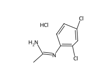 CC(N)=Nc1ccc(Cl)cc1Cl.Cl